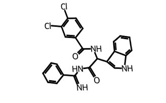 N=C(NC(=O)C(NC(=O)c1ccc(Cl)c(Cl)c1)c1c[nH]c2ccccc12)c1ccccc1